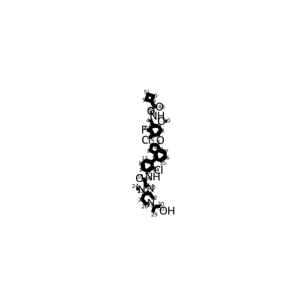 COc1cc(OC2CCc3c(-c4cccc(NC(=O)c5nc6c(n5C)CCN(C(C)CO)C6)c4Cl)cccc32)c(Cl)c(F)c1CNOC(=O)C1CCC1